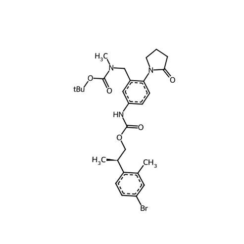 Cc1cc(Br)ccc1[C@@H](C)COC(=O)Nc1ccc(N2CCCC2=O)c(CN(C)C(=O)OC(C)(C)C)c1